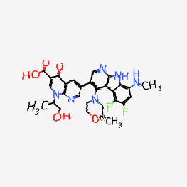 CNc1cc(F)c(F)c2c1[nH]c1ncc(-c3cnc4c(c3)c(=O)c(C(=O)O)cn4C(C)CO)c(N3CCO[C@@H](C)C3)c12